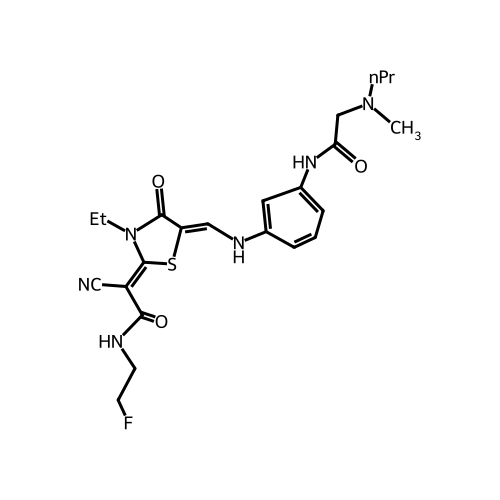 CCCN(C)CC(=O)Nc1cccc(NC=c2sc(=C(C#N)C(=O)NCCF)n(CC)c2=O)c1